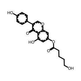 O=C(CCCCO)Oc1cc(O)c2c(=O)c(-c3ccc(O)cc3)coc2c1